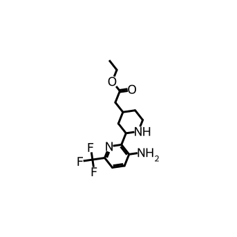 CCOC(=O)CC1CCNC(c2nc(C(F)(F)F)ccc2N)C1